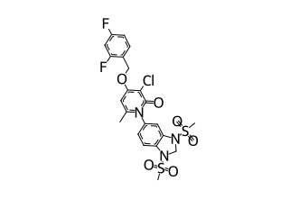 Cc1cc(OCc2ccc(F)cc2F)c(Cl)c(=O)n1-c1ccc2c(c1)N(S(C)(=O)=O)CN2S(C)(=O)=O